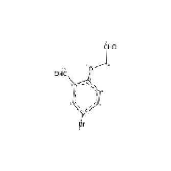 O=CCOc1ccc(Br)cc1C=O